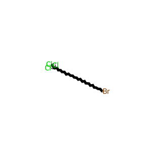 Cl[Si](Cl)(Cl)CCCCCCCCCCCCCCCCCCCCCCCCCBr